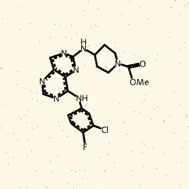 COC(=O)N1CCC(Nc2ncc3ncnc(Nc4ccc(F)c(Cl)c4)c3n2)CC1